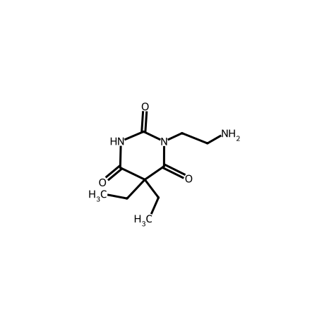 CCC1(CC)C(=O)NC(=O)N(CCN)C1=O